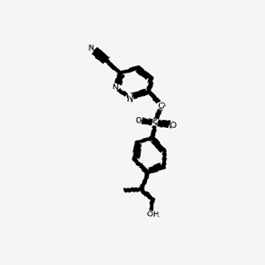 CC(CO)c1ccc(S(=O)(=O)Oc2ccc(C#N)nn2)cc1